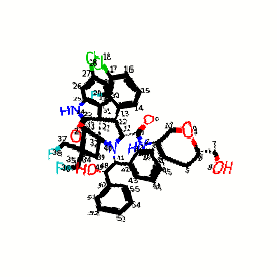 O=C(N[C@@H]1CC[C@@H](CO)OC1)[C@H]1[C@H](c2cccc(Cl)c2F)[C@]2(C(=O)Nc3cc(Cl)ccc32)C2(CC(CF)(CF)C2)N1[C@H](c1ccccc1)[C@@H](O)c1ccccc1